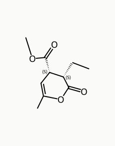 CC[C@@H]1C(=O)OC(C)=C[C@@H]1C(=O)OC